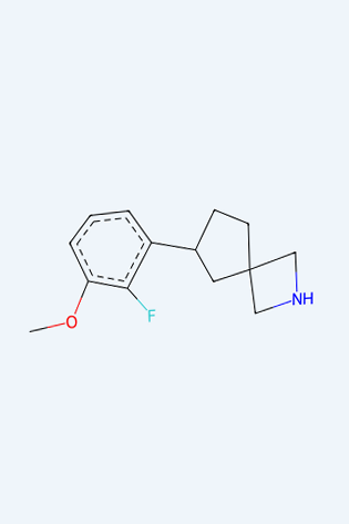 COc1cccc(C2CCC3(CNC3)C2)c1F